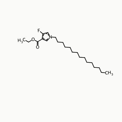 CCCCCCCCCCCCCCCn1cc(F)c(C(=O)OCC)c1